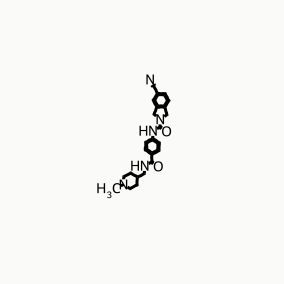 CN1CCC(CNC(=O)c2ccc(NC(=O)N3Cc4ccc(C#N)cc4C3)cc2)CC1